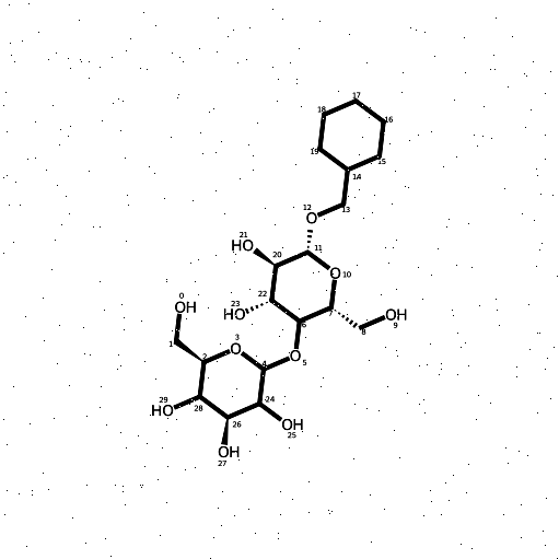 OC[C@H]1OC(OC2[C@@H](CO)O[C@@H](OCC3CCCCC3)[C@H](O)[C@H]2O)C(O)[C@@H](O)C1O